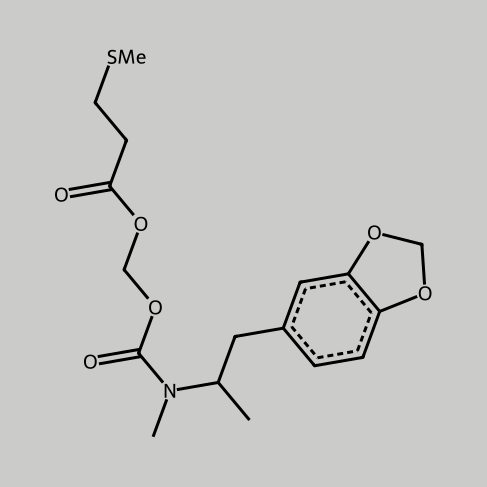 CSCCC(=O)OCOC(=O)N(C)C(C)Cc1ccc2c(c1)OCO2